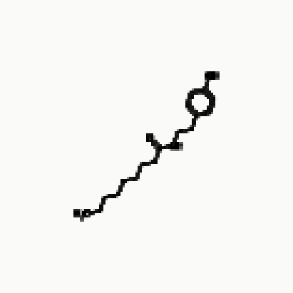 CCCCCCCCC(=O)NCCc1ccc(O)cc1